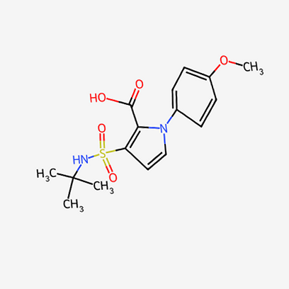 COc1ccc(-n2ccc(S(=O)(=O)NC(C)(C)C)c2C(=O)O)cc1